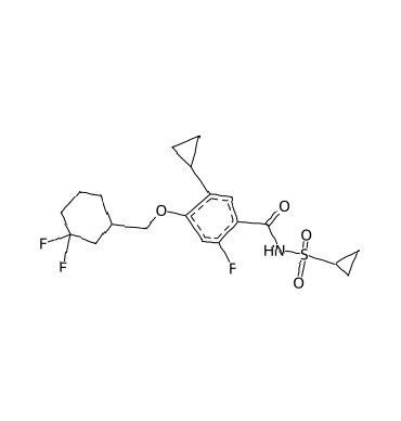 O=C(NS(=O)(=O)C1CC1)c1cc(C2CC2)c(OCC2CCCC(F)(F)C2)cc1F